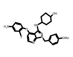 COc1ccc(Cn2nc(NC3CCC(O)CC3)c3c(Oc4ccc(N)cc4F)ccnc32)cc1